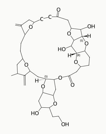 C=C1CC2CCC(=O)CC3OC4C(O)[C@H]5OC(CCC5O[C@H]4C3O)CC(=O)OC3CC4OC(CCO)C(O)CC4O[C@H]3CC3OC(CCC1O2)CC(C)C3=C